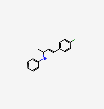 CC(C=Cc1ccc(F)cc1)Nc1ccccc1